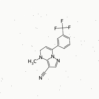 CN1CC=C(c2cccc(C(F)(F)F)c2)n2ncc(C#N)c21